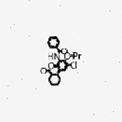 CC(C)Oc1c(Cl)cc2c3c(c(=O)oc2c1NC(=O)c1ccccc1)CCCC3